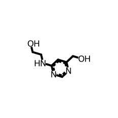 OCCNc1cc(CO)ncn1